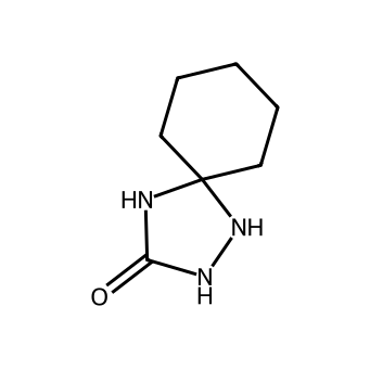 O=C1NNC2(CCCCC2)N1